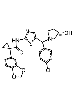 O=C(Nc1ncc(C(c2ccc(Cl)cc2)N2CC[C@@H](O)C2)s1)C1(c2ccc3c(c2)OCO3)CC1